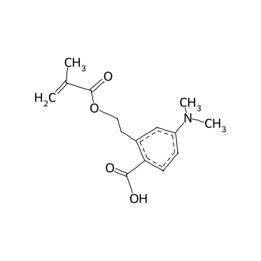 C=C(C)C(=O)OCCc1cc(N(C)C)ccc1C(=O)O